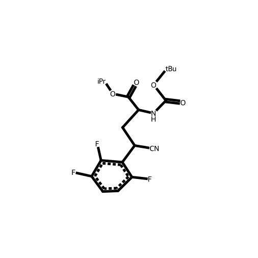 CC(C)OC(=O)C(CC(C#N)c1c(F)ccc(F)c1F)NC(=O)OC(C)(C)C